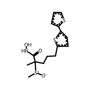 C[S+]([O-])C(C)(CCCc1ccc(-c2cccs2)s1)C(=O)NO